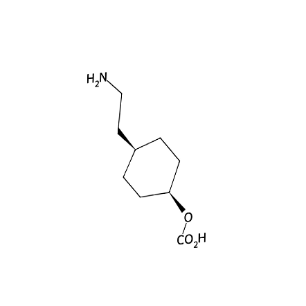 NCC[C@H]1CC[C@@H](OC(=O)O)CC1